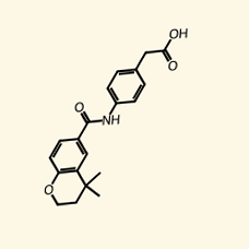 CC1(C)CCOc2ccc(C(=O)Nc3ccc(CC(=O)O)cc3)cc21